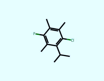 Cc1c(C)c(Cl)c(C(C)C)c(C)c1F